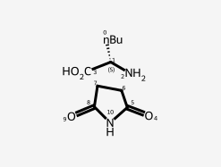 CCCC[C@H](N)C(=O)O.O=C1CCC(=O)N1